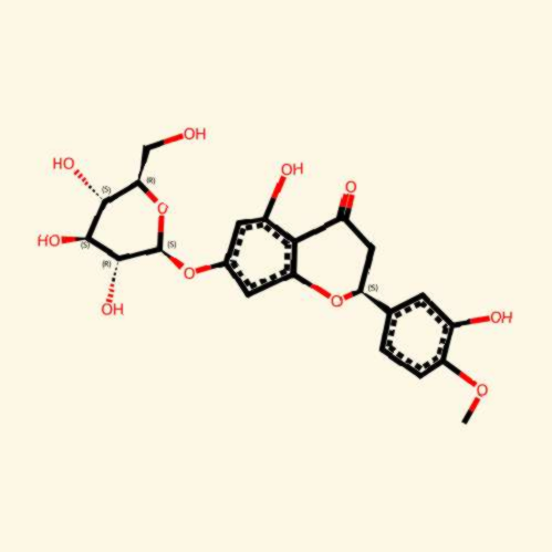 COc1ccc([C@@H]2CC(=O)c3c(O)cc(O[C@@H]4O[C@H](CO)[C@@H](O)[C@H](O)[C@H]4O)cc3O2)cc1O